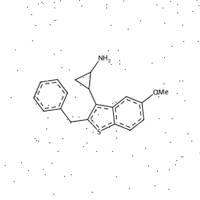 COc1ccc2sc(Cc3ccccc3)c(C3CC3N)c2c1